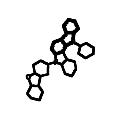 c1ccc2c(c1)c1ccc3c(c1n2C1CCCCC1)C1CCCCC1N3C1CCC2OC3CCCCC3C2C1